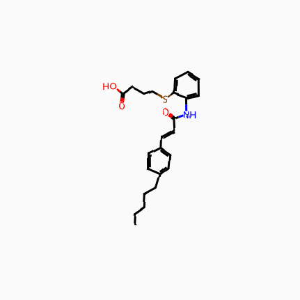 CCCCCc1ccc(/C=C/C(=O)Nc2ccccc2SCCCC(=O)O)cc1